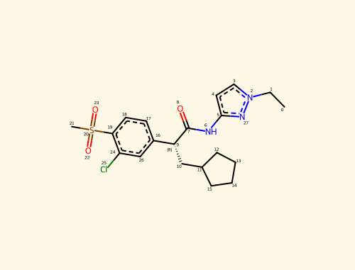 CCn1ccc(NC(=O)[C@H](CC2CCCC2)c2ccc(S(C)(=O)=O)c(Cl)c2)n1